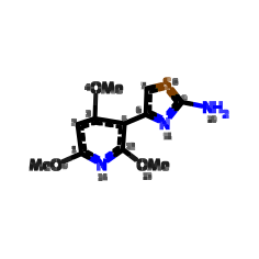 COc1cc(OC)c(-c2csc(N)n2)c(OC)n1